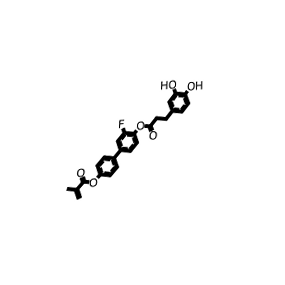 C=C(C)C(=O)Oc1ccc(-c2ccc(OC(=O)CCc3ccc(O)c(O)c3)c(F)c2)cc1